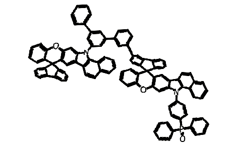 O=P(c1ccccc1)(c1ccccc1)c1ccc(-n2c3cc4c(cc3c3ccc5ccccc5c32)C2(c3ccccc3O4)c3ccccc3-c3cc(-c4cccc(-c5cc(-c6ccccc6)cc(-n6c7cc8c(cc7c7ccc9ccccc9c76)C6(c7ccccc7O8)c7ccccc7-c7ccccc76)c5)c4)ccc32)cc1